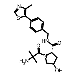 Cc1ncsc1-c1ccc(CNC(=O)[C@@H]2C[C@@H](O)CN2C(=O)C(C)(C)N)cc1